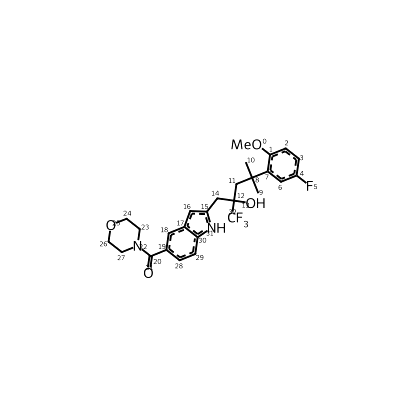 COc1ccc(F)cc1C(C)(C)CC(O)(Cc1cc2cc(C(=O)N3CCOCC3)ccc2[nH]1)C(F)(F)F